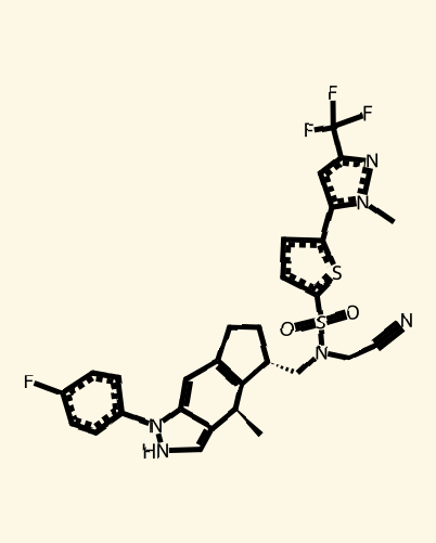 C[C@H]1C2=CNN(c3ccc(F)cc3)C2=CC2=C1[C@@H](CN(CC#N)S(=O)(=O)c1ccc(-c3cc(C(F)(F)F)nn3C)s1)CC2